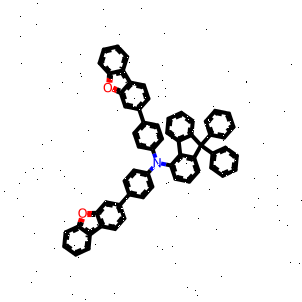 c1ccc(C2(c3ccccc3)c3ccccc3-c3c(N(c4ccc(-c5ccc6c(c5)oc5ccccc56)cc4)c4ccc(-c5ccc6c(c5)oc5ccccc56)cc4)cccc32)cc1